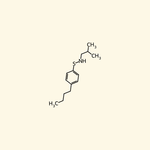 CCCCc1ccc(SNCC(C)C)cc1